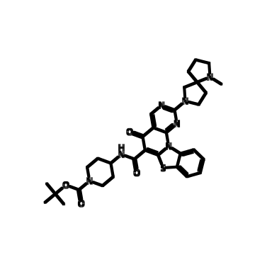 CN1CCCC12CCN(c1ncc3c(=O)c(C(=O)NC4CCN(C(=O)OC(C)(C)C)CC4)c4sc5ccccc5n4c3n1)C2